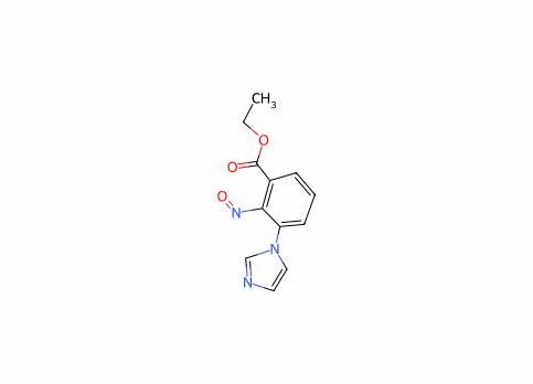 CCOC(=O)c1cccc(-n2ccnc2)c1N=O